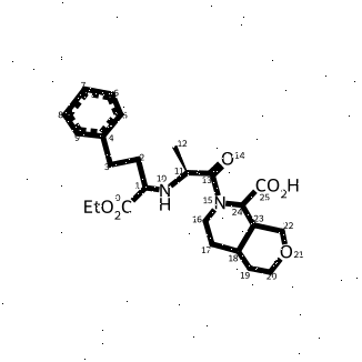 CCOC(=O)C(CCc1ccccc1)N[C@@H](C)C(=O)N1CCC2CCOCC2C1C(=O)O